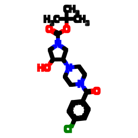 CC(C)(C)OC(=O)N1CC(O)C(N2CCN(C(=O)c3ccc(Cl)cc3)CC2)C1